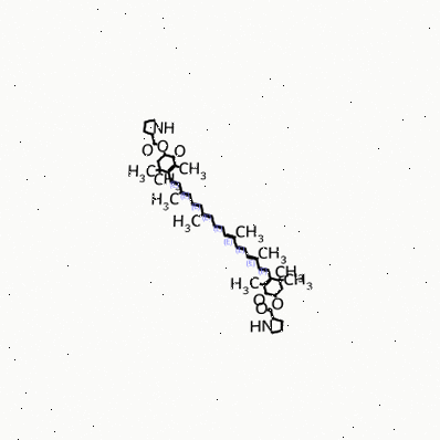 CC1=C(/C=C/C(C)=C/C=C/C(C)=C/C=C/C=C(C)/C=C/C=C(C)/C=C/C2=C(C)C(=O)C(OC(=O)C3CCCN3)CC2(C)C)C(C)(C)CC(OC(=O)C2CCCN2)C1=O